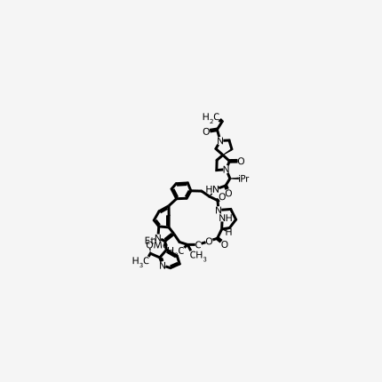 C=CC(=O)N1CC[C@@]2(CCN([C@H](C(=O)N[C@H]3Cc4cccc(c4)-c4ccc5c(c4)c(c(-c4cccnc4[C@H](C)OC)n5CC)CC(C)(C)COC(=O)[C@@H]4CCCN(N4)C3=O)C(C)C)C2=O)C1